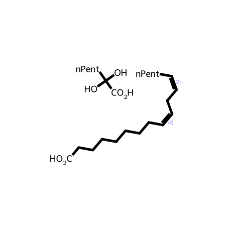 CCCCC/C=C\C/C=C\CCCCCCCC(=O)O.CCCCCC(O)(O)C(=O)O